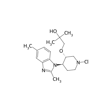 Cc1ccc2c(c1)nc(C)n2[C@@H]1CCN(Cl)C[C@H]1OCC(C)(C)O